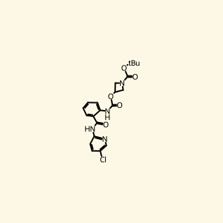 CC(C)(C)OC(=O)N1CC(OC(=O)Nc2ccccc2C(=O)Nc2ccc(Cl)cn2)C1